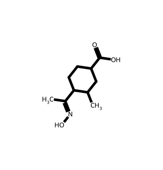 CC(=NO)C1CCC(C(=O)O)CC1C